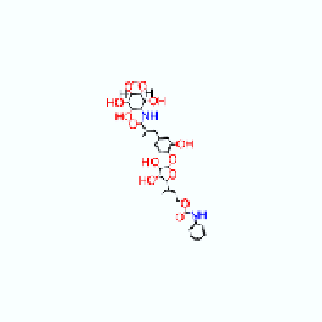 CC(=Cc1ccc(O[C@H]2O[C@@H](C(C)=CCOC(=O)Nc3ccccc3)[C@@H](O)[C@@H]2O)c(O)c1)C(=O)N[C@@H]1[C@H](O)[C@@H](O)[C@H]2OCO[C@H]2[C@@H]1O